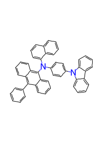 c1ccc(-c2c3ccccc3c(N(c3ccc(-n4c5ccccc5c5ccccc54)cc3)c3cccc4ccccc34)c3ccccc23)cc1